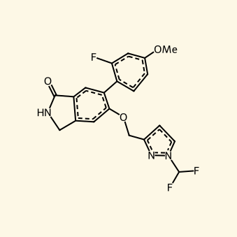 COc1ccc(-c2cc3c(cc2OCc2ccn(C(F)F)n2)CNC3=O)c(F)c1